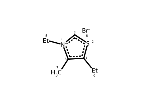 CCc1sc[n+](CC)c1C.[Br-]